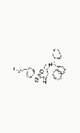 Cc1ccc(S(=O)(=O)NC(c2ccccc2)C2CCN2C(c2ccccc2)c2ccccc2)cc1